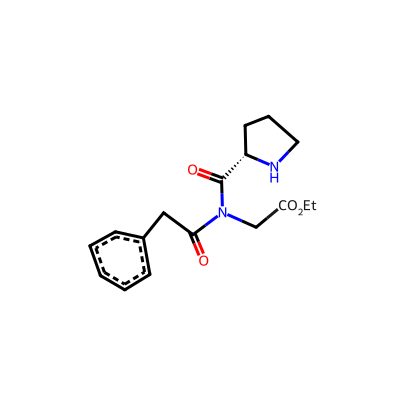 CCOC(=O)CN(C(=O)Cc1ccccc1)C(=O)[C@@H]1CCCN1